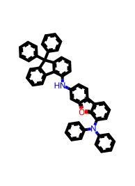 c1ccc(N(c2ccccc2)c2cccc3c2oc2cc(Nc4cccc5c4-c4ccccc4C5(c4ccccc4)c4ccccc4)ccc23)cc1